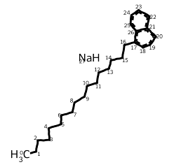 CCCCCCCCCCCCCCCCCc1cccc2ccccc12.[NaH]